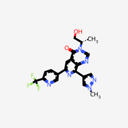 C[C@@H](CO)n1cnc2c(-c3cnn(C)c3)nc(-c3ccc(C(F)(F)F)nc3)cc2c1=O